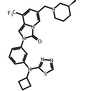 C[C@H]1CCCN(Cc2cc(C(F)(F)F)c3cn(-c4cccc(N(c5nncs5)C5CCC5)c4)c(=O)n3c2)C1